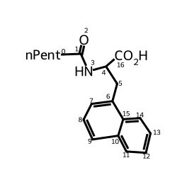 CCCCCC(=O)NC(Cc1cccc2ccccc12)C(=O)O